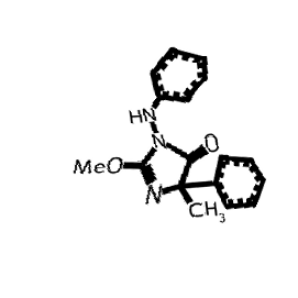 COC1=NC(C)(c2ccccc2)C(=O)N1Nc1ccccc1